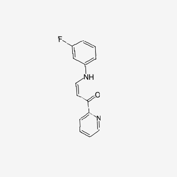 O=C(/C=C\Nc1cccc(F)c1)c1ccccn1